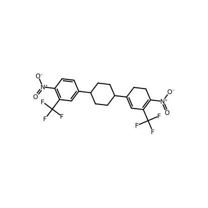 O=[N+]([O-])C1=C(C(F)(F)F)C=C(C2CCC(c3ccc([N+](=O)[O-])c(C(F)(F)F)c3)CC2)CC1